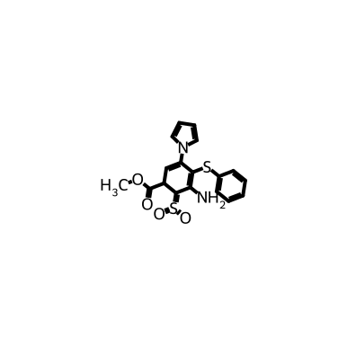 COC(=O)C1C=C(n2cccc2)C(Sc2ccccc2)=C(N)C1=S(=O)=O